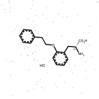 Cl.N[C@H](Cc1ccccc1OCCc1ccccc1)C(=O)O